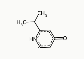 CC(C)c1cc(=O)c[c][nH]1